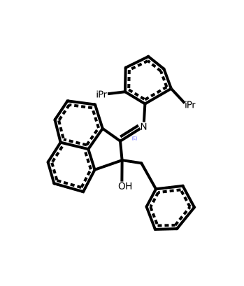 CC(C)c1cccc(C(C)C)c1/N=C1\c2cccc3cccc(c23)C1(O)Cc1ccccc1